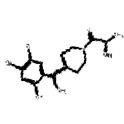 CC(O)C(=O)N1CCC(C(N)c2cc(Cl)c(Cl)cc2O)CC1